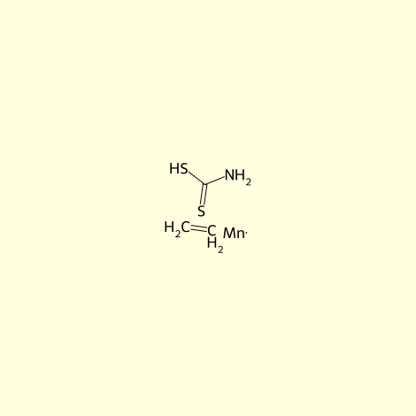 C=C.NC(=S)S.[Mn]